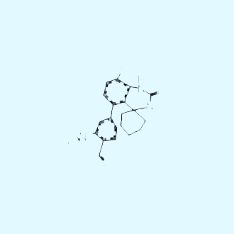 [C-]#[N+]c1cc(-c2ccc(Cl)c3c2C2(CCCCC2)NC(=O)N3)ccc1C=O